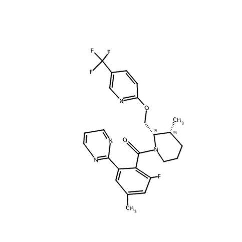 Cc1cc(F)c(C(=O)N2CCC[C@@H](C)[C@H]2COc2ccc(C(F)(F)F)cn2)c(-c2ncccn2)c1